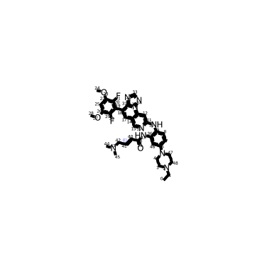 CCN1CCN(c2ccc(Nc3cc4c(cn3)cc(-c3c(F)c(OC)cc(OC)c3F)c3ncnn34)c(NC(=O)/C=C/CN(C)C)c2)CC1